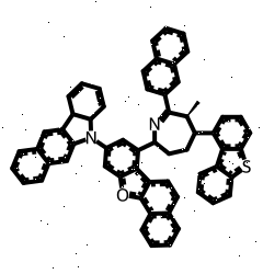 C[C@@H]1C(c2ccc3ccccc3c2)=NC(c2cc(N3c4cc5ccccc5cc4C4C=CC=CC43)cc3oc4c5ccccc5ccc4c23)CCC1c1cccc2sc3ccccc3c12